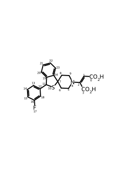 O=C(O)C=C(C(=O)O)N1CCC2(CC1)SC(c1cccc(F)c1)c1ccccc12